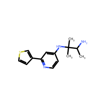 CC(N)C(C)(C)Nc1ccnc(-c2ccsc2)c1